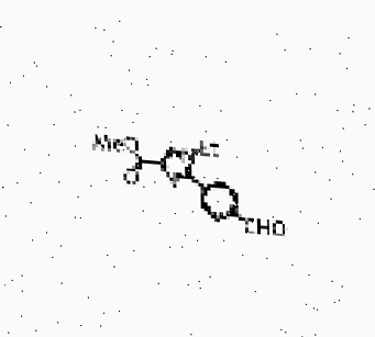 CCn1cc(C(=O)OC)nc1-c1ccc(C=O)cc1